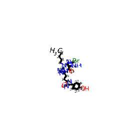 CCCCCn1c2nc(Br)[nH]c2c(=O)n2c(CCc3nc(-c4ccc(O)cc4)no3)nnc12